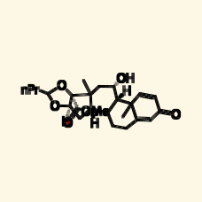 CCCC1O[C@@H]2C[C@H]3C4CCC5=CC(=O)C=CC5(C)[C@H]4[C@@H](O)CC3(C)[C@]2(C(=O)OC)O1